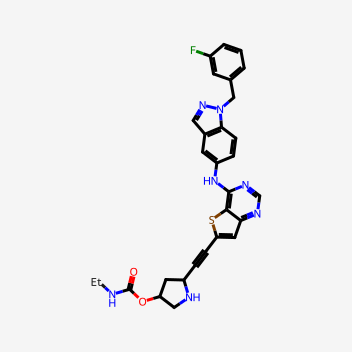 CCNC(=O)OC1CNC(C#Cc2cc3ncnc(Nc4ccc5c(cnn5Cc5cccc(F)c5)c4)c3s2)C1